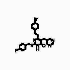 O=c1[nH]c(SCc2ccc(F)cc2)nc(CCc2ccc(Br)cc2)c1Cc1cncnc1